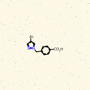 CC(=O)c1cnn(Cc2ccc(C(=O)O)cc2)c1